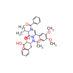 COc1ccc(C2=CN(C(=O)c3ccccc3)C(C(C)C)C(=O)N2N(C(C)=O)[C@@H](Cc2ccccc2)C(O)C(=O)O)cc1OC